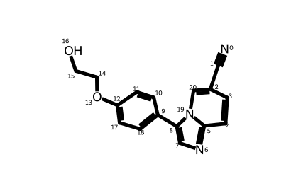 N#Cc1ccc2ncc(-c3ccc(OCCO)cc3)n2c1